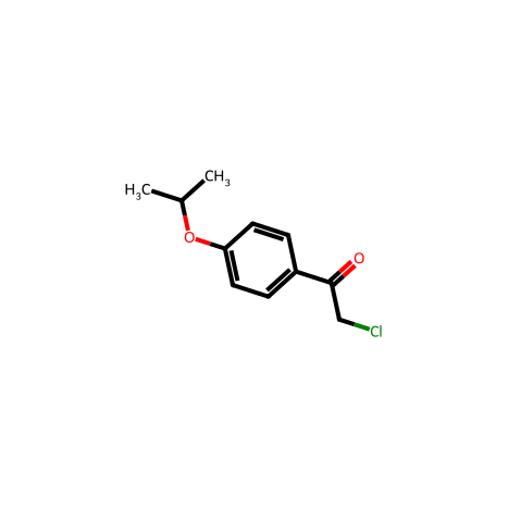 CC(C)Oc1ccc(C(=O)CCl)cc1